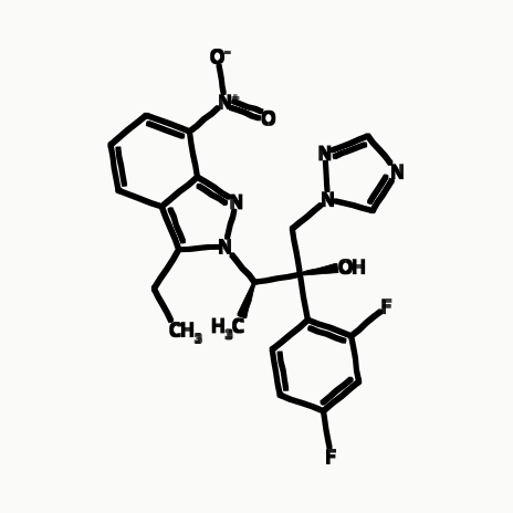 CCc1c2cccc([N+](=O)[O-])c2nn1[C@H](C)[C@](O)(Cn1cncn1)c1ccc(F)cc1F